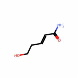 NC(=O)C=CCCO